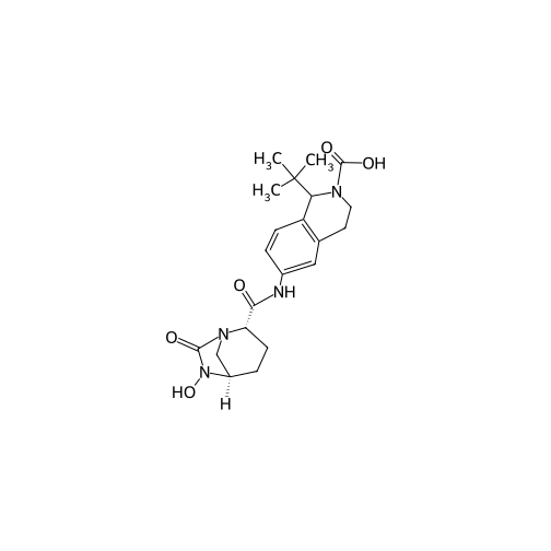 CC(C)(C)C1c2ccc(NC(=O)[C@@H]3CC[C@@H]4CN3C(=O)N4O)cc2CCN1C(=O)O